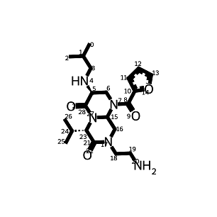 CC(C)CN[C@H]1CN(C(=O)c2ccco2)C2CN(CCN)C(=O)[C@H](C(C)C)N2C1=O